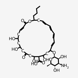 CCCCC1C/C=C/C=C/C=C/C=C/C(O[C@@H]2O[C@H](C)[C@@H](O)[C@H](N)[C@@H]2O)CC(O)C(C(=O)O)C(O)CC(=O)CC(O)CC(O)C/C=C/C(=O)O1